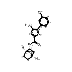 Cc1nc(C(=O)N[C@@H]2C[C@H]3CC[C@@H]2N3)sc1-c1cccc(Cl)c1